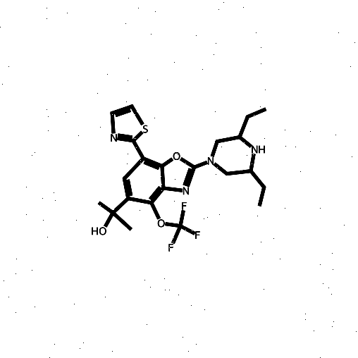 CCC1CN(c2nc3c(OC(F)(F)F)c(C(C)(C)O)cc(-c4nccs4)c3o2)CC(CC)N1